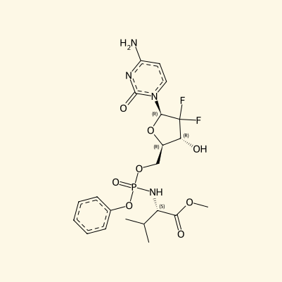 COC(=O)[C@@H](NP(=O)(OC[C@H]1O[C@@H](n2ccc(N)nc2=O)C(F)(F)[C@@H]1O)Oc1ccccc1)C(C)C